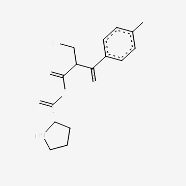 O=C(OC(=O)[C@@H]1CCCN1)C(CBr)C(=O)c1ccc(Cl)cc1